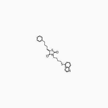 O=C1SC(=CCCCc2ccccc2)C(=O)N1CCCCSc1cccc2nccn12